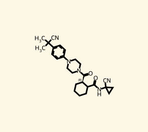 CC(C)(C#N)c1ccc(N2CCN(C(=O)[C@@H]3CCCCC3C(=O)NC3(C#N)CC3)CC2)cc1